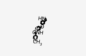 CN1CCC(C(=O)Nc2cc(Oc3ccc4[nH]ccc4c3)ccn2)CC1